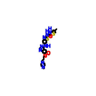 COc1cc2c(Nc3ccc4nc(NC(=O)Nc5cc(C)cs5)sc4c3)ncnc2cc1OCCCN1CCN(C)CC1